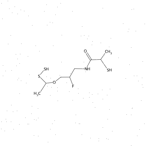 CC(OCC(F)CNC(=O)C(C)S)SS